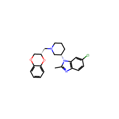 Cc1nc2ccc(Cl)cc2n1[C@H]1CCCN(C[C@H]2COc3ccccc3O2)C1